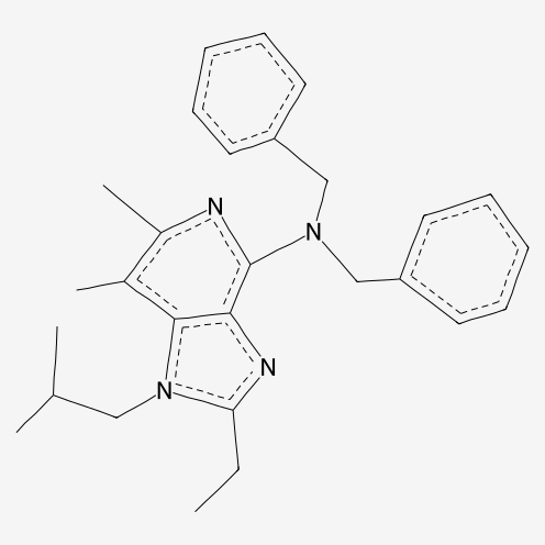 CCc1nc2c(N(Cc3ccccc3)Cc3ccccc3)nc(C)c(C)c2n1CC(C)C